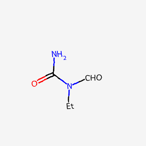 CCN(C=O)C(N)=O